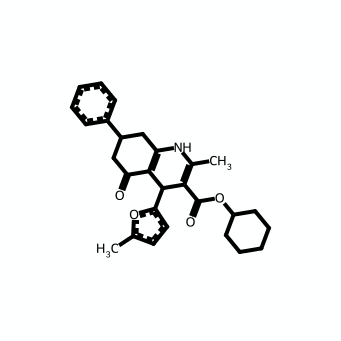 CC1=C(C(=O)OC2CCCCC2)C(c2ccc(C)o2)C2=C(CC(c3ccccc3)CC2=O)N1